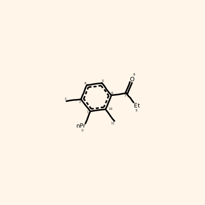 CCCc1c(C)ccc(C(=O)CC)c1C